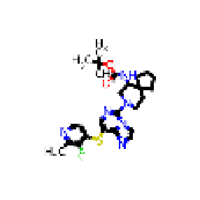 Cc1nccc(Sc2cnc(N3CCC4(CCCC4)C(NC(=O)OC(C)(C)C)C3)n3ccnc23)c1Cl